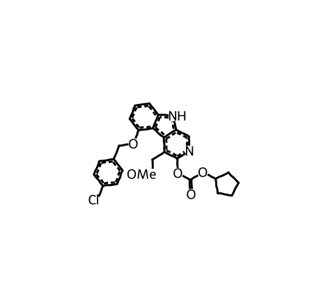 COCc1c(OC(=O)OC2CCCC2)ncc2[nH]c3cccc(OCc4ccc(Cl)cc4)c3c12